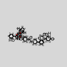 Nc1nnc(-c2ccccc2O)cc1N1C[C@H]2CC[C@@H](C1)N2c1cccc(OC2CCN(C(=O)CN3CCC(c4cccc5c4OCC(=O)N5[C@H]4CCC(=O)NC4=O)CC3)CC2)c1